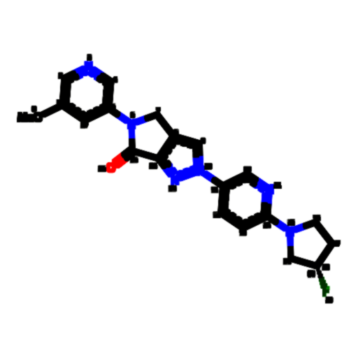 COc1cncc(N2Cc3cn(-c4ccc(N5CC[C@H](F)C5)nc4)nc3C2=O)c1